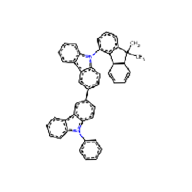 CC1(C)c2cccc(-n3c4ccccc4c4cc(-c5ccc6c(c5)c5ccccc5n6-c5ccccc5)ccc43)c2C2C=CC=CC21